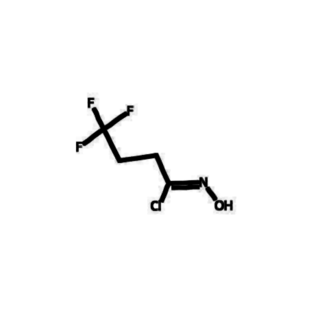 ON=C(Cl)CCC(F)(F)F